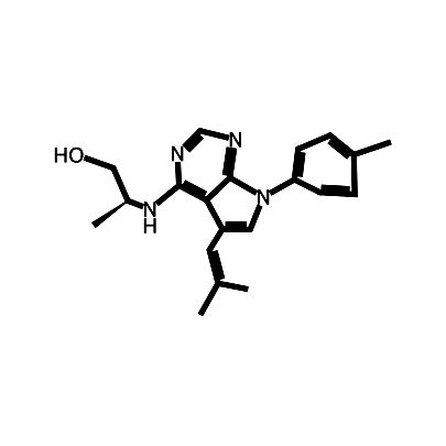 CC(C)=Cc1cn(-c2ccc(C)cc2)c2ncnc(N[C@@H](C)CO)c12